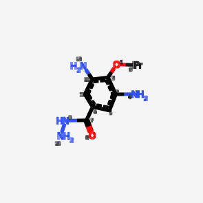 CC(C)Oc1c(N)cc(C(=O)NN)cc1N